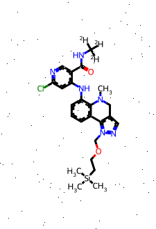 [2H]C([2H])([2H])NC(=O)c1cnc(Cl)cc1Nc1cccc2c1N(C)Cc1cnn(COCC[Si](C)(C)C)c1-2